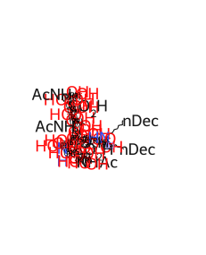 CCCCCCCCCCCCC/C=C/[C@@H](O)[C@H](CO[C@@H]1OC(CO)[C@@H](O[C@@H]2OC(CO)[C@H](O[C@@H]3OC(CO)[C@H](O)[C@H](O[C@@H]4OC(CO)[C@H](O)[C@H](O[C@]5(C(=O)O)CC(O)[C@@H](NC(C)=O)C([C@H](O)[C@H](O)CO)O5)C4O)C3NC(C)=O)[C@H](O[C@]3(C(=O)O)CC(O)[C@@H](NC(=O)CO)C([C@H](O)[C@@H](CO)O[C@]4(C(=O)O)CC(O)[C@@H](NC(C)=O)C([C@H](O)[C@H](O)CO)O4)O3)C2O)[C@H](O)C1O)NC(=O)CCCCCCCCCCCCCCCCC